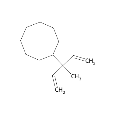 C=CC(C)(C=C)C1CCCCCCC1